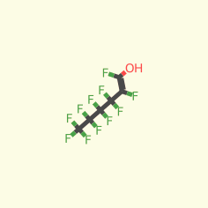 OC(F)=C(F)C(F)(F)C(F)(F)C(F)(F)C(F)(F)F